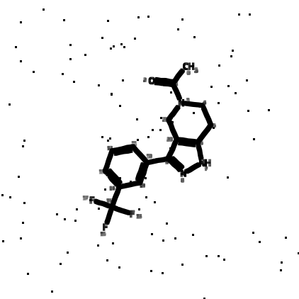 CC(=O)N1CCc2[nH]nc(-c3cccc(C(F)(F)F)c3)c2C1